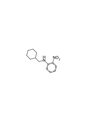 O=[N+]([O-])c1ccc[c]c1NCC1CCCCC1